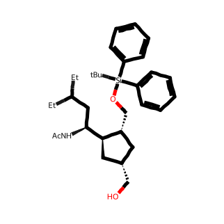 CCC(CC)C[C@H](NC(C)=O)[C@@H]1C[C@@H](CO)C[C@H]1CO[Si](c1ccccc1)(c1ccccc1)C(C)(C)C